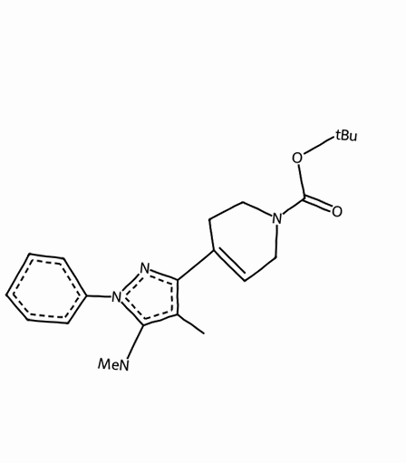 CNc1c(C)c(C2=CCN(C(=O)OC(C)(C)C)CC2)nn1-c1ccccc1